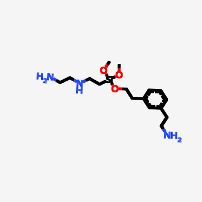 CO[Si](CCNCCN)(OC)OCCc1cccc(CCN)c1